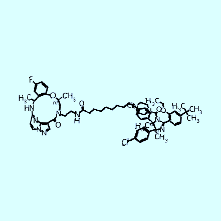 CCOc1cc(C(C)(C)C)ccc1C1=N[C@](C)(c2ccc(Cl)cc2)[C@](C)(c2ccc(Cl)cc2)N1C(=O)N1CCN(CCCCCCCCC(=O)NCCN2C[C@H](C)Oc3ccc(F)cc3C(C)Nc3ccn4ncc(c4n3)C2=O)CC1